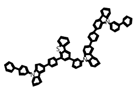 c1ccc(-c2ccc(-n3c4ccccc4c4cc(-c5ccc(-c6cc(-c7cccc(-n8c9ccccc9c9cc(-c%10ccc(-c%11ccc%12c%13ccccc%13n(-c%13cccc(-c%14ccccc%14)c%13)c%12c%11)cc%10)ccc98)c7)cc7c6sc6ccccc67)cc5)ccc43)cc2)cc1